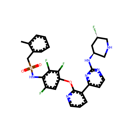 Cc1ccccc1CS(=O)(=O)Nc1c(F)cc(Oc2ncccc2-c2ccnc(N[C@@H]3CNC[C@@H](F)C3)n2)c(F)c1F